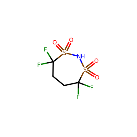 O=S1(=O)NS(=O)(=O)C(F)(F)CCC1(F)F